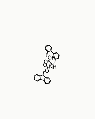 O=C(N[C@@H](Cc1cccc(-c2ccccc2F)c1)C(=O)O)OCC1c2ccccc2-c2ccccc21